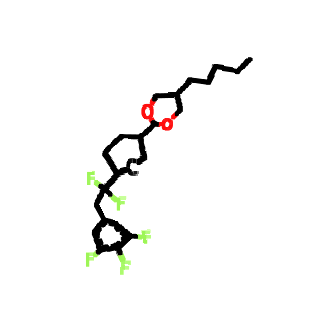 CCCCCC1COC(C2CCC(C(F)(F)Cc3cc(F)c(F)c(F)c3)CC2)OC1